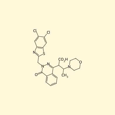 CC(C(C(=O)O)c1nn(Cc2nc3cc(Cl)c(Cl)cc3s2)c(=O)c2ccccc12)N1CCOCC1